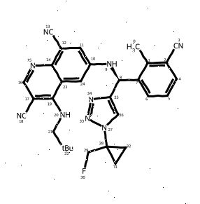 Cc1c(C#N)cccc1[C@H](Nc1cc(C#N)c2ncc(C#N)c(NCC(C)(C)C)c2c1)c1cn(C2(CF)CC2)nn1